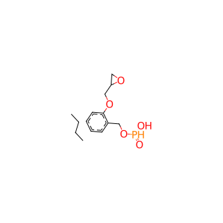 CCCC.O=[PH](O)OCc1ccccc1OCC1CO1